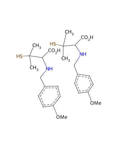 COc1ccc(CNC(C(=O)O)C(C)(C)S)cc1.COc1ccc(CNC(C(=O)O)C(C)(C)S)cc1